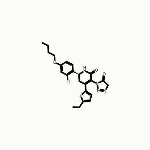 CCCCOc1ccc([C@@H]2CC(c3ccc(CC)s3)=C(N3N=NCC3=O)C(=O)N2)c(Cl)c1